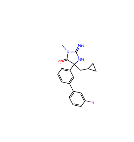 CN1C(=N)NC(CC2CC2)(c2cccc(-c3cccc(I)c3)c2)C1=O